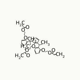 C=CC(=O)OCCOc1ccccc1C(CC)c1cccc(C(C)(CC)c2ccccc2OCCOC(=O)C=C)c1OCCOC(=O)C=C